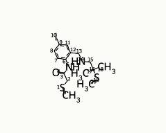 CSCC(=O)Nc1ccc(I)cc1CNCC(C)(C)SC